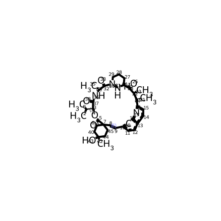 CC(C)[C@@H]1OC(=O)C2(/C=C/c3ccc4ccc(nc4c3)[C@@H](C)C(C)C(=O)[C@@H]3CCCN(N3)C(=O)[C@H](C)NC1=O)CCC(C)(O)CC2